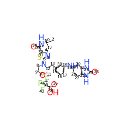 CC1(C)Cc2nc(N3CCOCC3Cc3cccc(Nc4ccc5[nH]c(=O)[nH]c5c4)c3)sc2C(=O)N1.O=C(O)C(F)(F)F